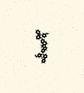 CCc1ccc(N(c2ccc3c4c(ccc3c2)-c2ccc3cc(N(c5ccc(CC)cc5)c5cccc6c5oc5ccccc56)ccc3c2C4(C)C)c2cccc3c2oc2ccccc23)cc1